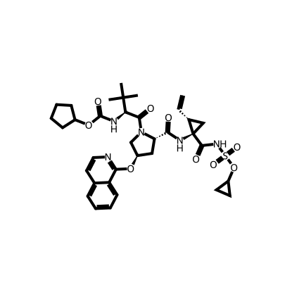 C=C[C@@H]1C[C@]1(NC(=O)[C@@H]1C[C@@H](Oc2nccc3ccccc23)CN1C(=O)[C@@H](NC(=O)OC1CCCC1)C(C)(C)C)C(=O)NS(=O)(=O)OC1CC1